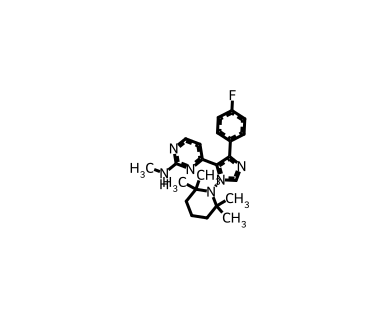 CNc1nccc(-c2c(-c3ccc(F)cc3)ncn2N2C(C)(C)CCCC2(C)C)n1